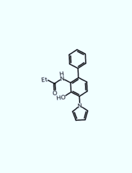 CCC(=O)Nc1c(-c2ccccc2)ccc(-n2cccc2)c1O